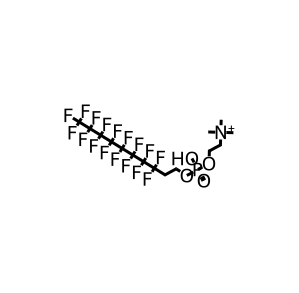 C[N+](C)(C)CCOP(=O)(O)OCCC(F)(F)C(F)(F)C(F)(F)C(F)(F)C(F)(F)C(F)(F)C(F)(F)C(F)(F)F